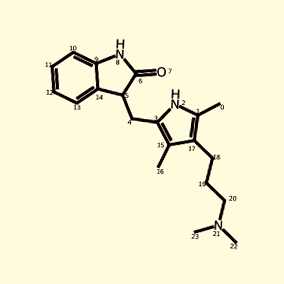 Cc1[nH]c(CC2C(=O)Nc3ccccc32)c(C)c1CCCN(C)C